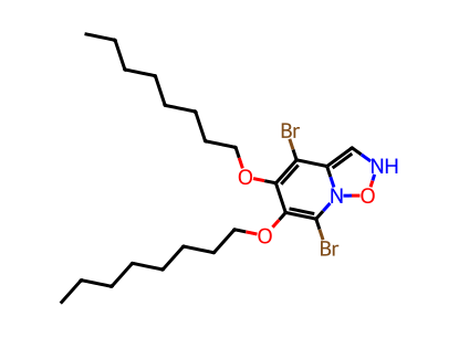 CCCCCCCCOC1=C(Br)C2=CNON2C(Br)=C1OCCCCCCCC